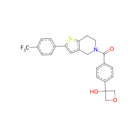 O=C(c1ccc(C2(O)COC2)cc1)N1CCc2sc(-c3ccc(C(F)(F)F)cc3)cc2C1